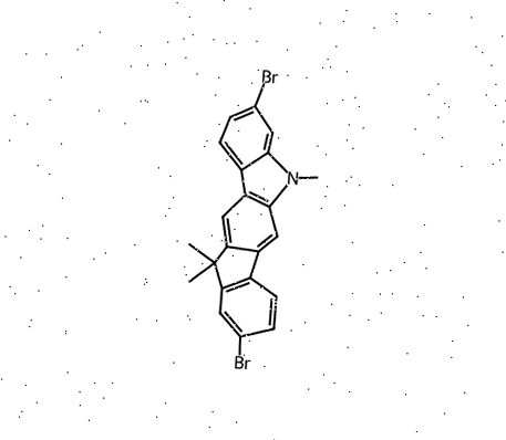 Cn1c2cc(Br)ccc2c2cc3c(cc21)-c1ccc(Br)cc1C3(C)C